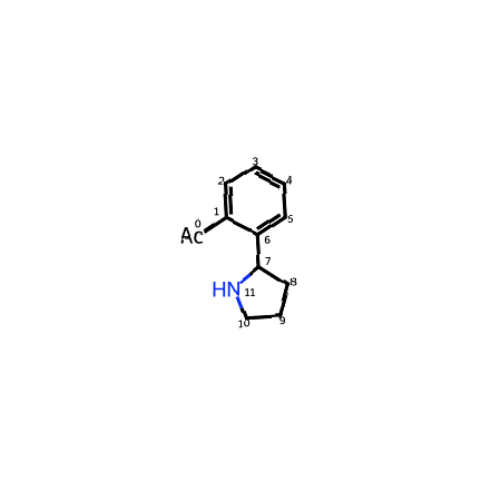 CC(=O)c1ccccc1C1CCCN1